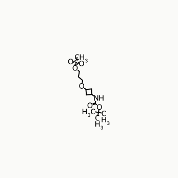 CC(C)(C)OC(=O)NC1CC(OCCCOS(C)(=O)=O)C1